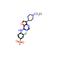 CCOC(=O)N1CCC(c2coc3c(Nc4ccc(S(C)(=O)=O)cc4F)ncnc23)CC1